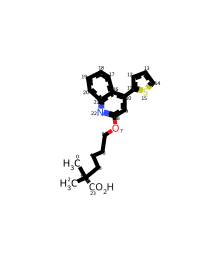 CC(C)(CCCCOc1cc(-c2cccs2)c2ccccc2n1)C(=O)O